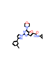 Cc1cccc(-c2ccn(-c3nc(N4CCOCC4)c4oc(C(=O)NC5CC5)cc4n3)n2)c1